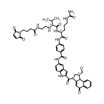 CC(C)[C@H](NCCNC(=O)CCCN1C(=O)C=CC1=O)C(=O)N[C@@H](CCCNC(N)=O)C(=O)Nc1ccc(C(=O)Nc2ccc3[nH]c(C(=O)N4C[C@@H](CCl)C5C4=CC(=O)c4ccccc45)cc3c2)cc1